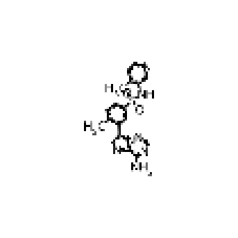 Cc1ccncc1NS(=O)(=O)c1ccc(C)c(-c2cnc3c(N)ncnn23)c1